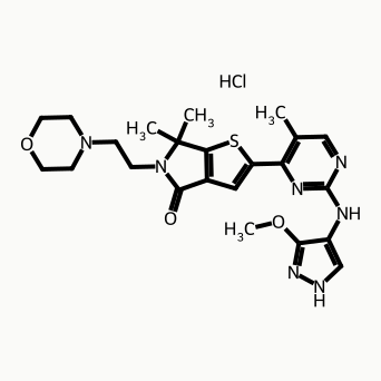 COc1n[nH]cc1Nc1ncc(C)c(-c2cc3c(s2)C(C)(C)N(CCN2CCOCC2)C3=O)n1.Cl